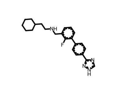 Fc1c(CNCCC2CCCCC2)cccc1-c1ccc(-c2nc[nH]n2)cc1